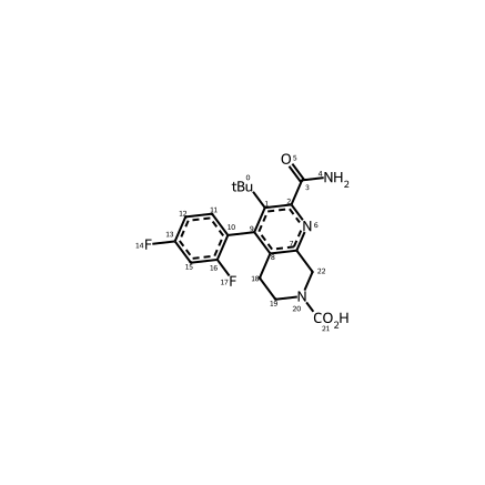 CC(C)(C)c1c(C(N)=O)nc2c(c1-c1ccc(F)cc1F)CCN(C(=O)O)C2